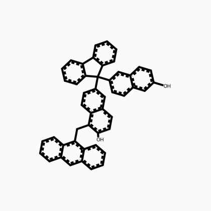 Oc1ccc2cc(C3(c4ccc5c(Cc6c7ccccc7cc7ccccc67)c(O)ccc5c4)c4ccccc4-c4ccccc43)ccc2c1